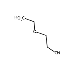 N#CCCOCC(=O)O